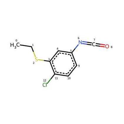 CCSc1cc(N=C=O)ccc1Cl